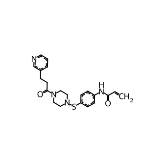 C=CC(=O)Nc1ccc(SN2CCN(C(=O)CCc3cccnc3)CC2)cc1